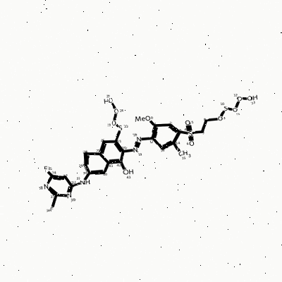 COc1cc(S(=O)(=O)CCOSOOO)c(C)cc1/N=N/c1c(SOOO)cc2ccc(Nc3cc(F)nc(F)n3)cc2c1O